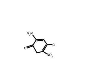 NC1=CC(Cl)=C([N+](=O)[O-])CC1=O